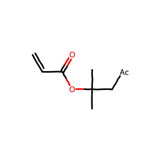 C=CC(=O)OC(C)(C)CC(C)=O